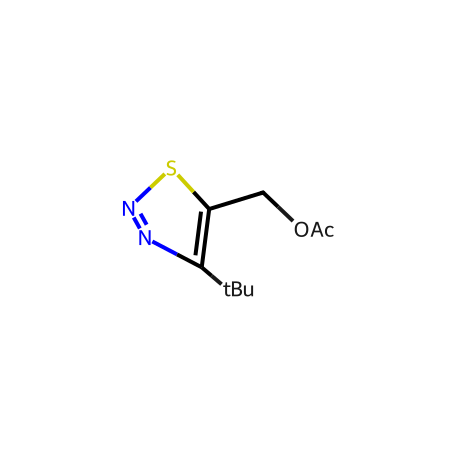 CC(=O)OCc1snnc1C(C)(C)C